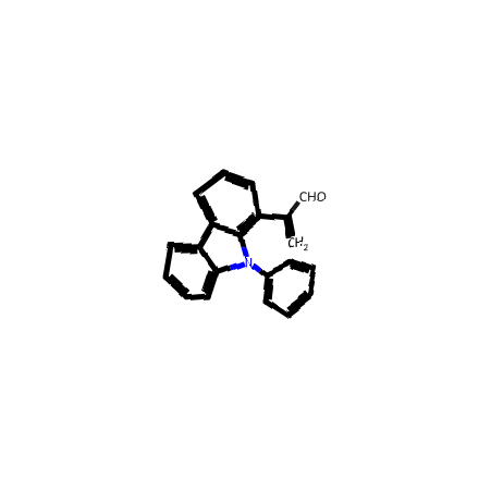 C=C(C=O)c1cccc2c3ccccc3n(-c3ccccc3)c12